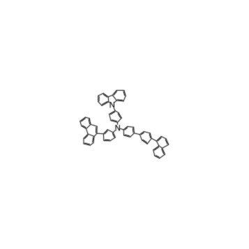 c1cc(-c2cc3ccccc3c3ccccc23)cc(N(c2ccc(-c3ccc(-c4cccc5ccccc45)cc3)cc2)c2ccc(-n3c4ccccc4c4ccccc43)cc2)c1